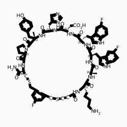 C[C@H]1NC(=O)[C@H](CCCCN)NC(=O)CCSCc2cc(F)cc(c2)CSC[C@@H](C(N)=O)NC(=O)[C@]2(C)CCCN2C(=O)[C@](C)(Cc2ccc(O)cc2)NC(=O)[C@H](Cc2cnc[nH]2)NC(=O)[C@H](CC(=O)O)NC(=O)[C@H](Cc2c[nH]c3ccc(F)cc23)NC(=O)[C@@H](Cc2c[nH]c3ccc(F)cc23)NC1=O